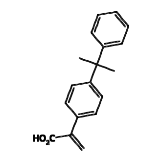 C=C(C(=O)O)c1ccc(C(C)(C)c2ccccc2)cc1